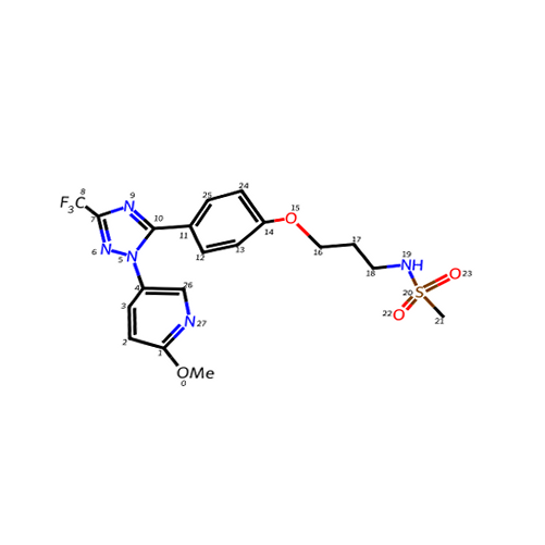 COc1ccc(-n2nc(C(F)(F)F)nc2-c2ccc(OCCCNS(C)(=O)=O)cc2)cn1